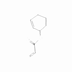 C=CC(=O)OC1C=CCCC1